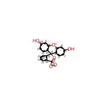 Oc1ccc2c(c1)Oc1cc(O)ccc1C21OC2(OO2)c2ccccc21